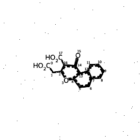 O=C(O)Cc1oc2ccc3ccccc3c2c(=O)c1C(=O)O